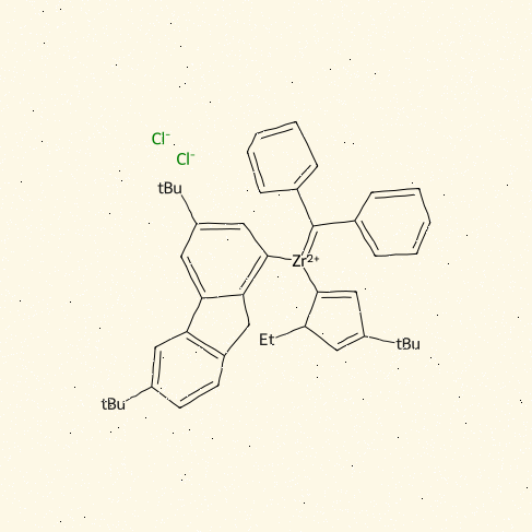 CCC1C=C(C(C)(C)C)C=[C]1[Zr+2](=[C](c1ccccc1)c1ccccc1)[c]1cc(C(C)(C)C)cc2c1Cc1ccc(C(C)(C)C)cc1-2.[Cl-].[Cl-]